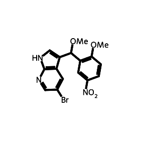 COc1ccc([N+](=O)[O-])cc1C(OC)c1c[nH]c2ncc(Br)cc12